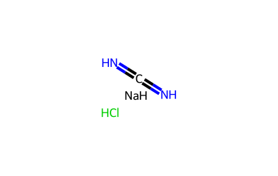 Cl.N=C=N.[NaH]